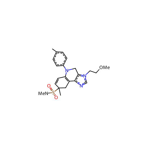 CNS(=O)(=O)C1(C)C=CC2=C(C1)c1ncn(CCOC)c1CN2c1ccc(C)cc1